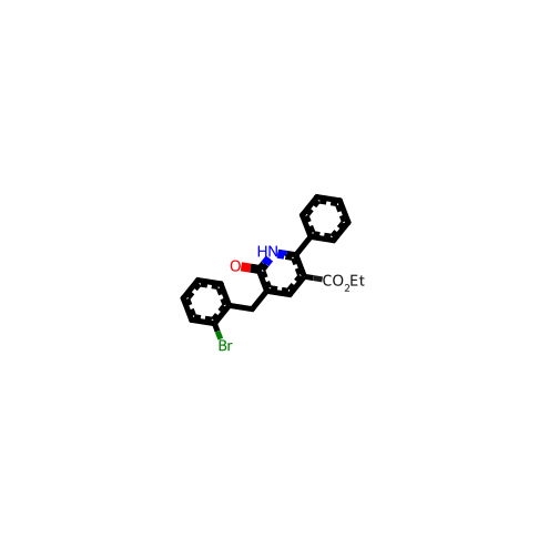 CCOC(=O)c1cc(Cc2ccccc2Br)c(=O)[nH]c1-c1ccccc1